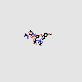 CCC[C@H](NC(=O)C1C[C@@H](Oc2nccc3cc(OCC)ccc23)CC1C(=O)[C@@H](NC(=O)NC(C)(C)C)C(C)(C)C)C(=O)C(=O)NC1CC1